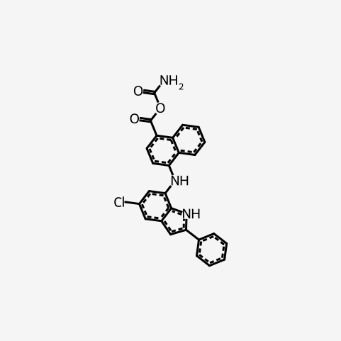 NC(=O)OC(=O)c1ccc(Nc2cc(Cl)cc3cc(-c4ccccc4)[nH]c23)c2ccccc12